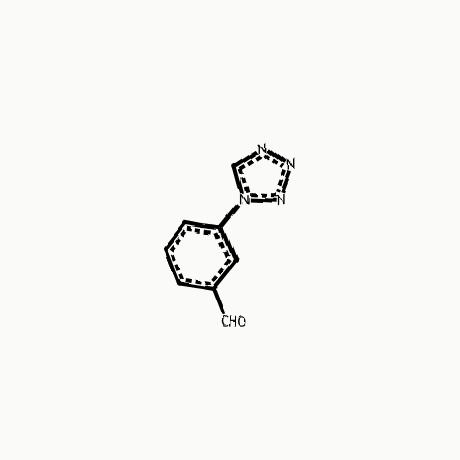 O=Cc1cccc(-n2cnnn2)c1